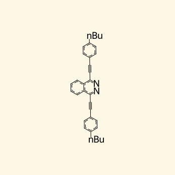 CCCCc1ccc(C#Cc2nnc(C#Cc3ccc(CCCC)cc3)c3ccccc23)cc1